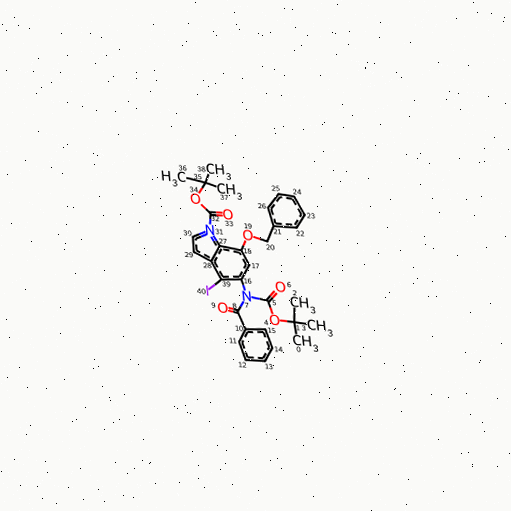 CC(C)(C)OC(=O)N(C(=O)c1ccccc1)c1cc(OCc2ccccc2)c2c(ccn2C(=O)OC(C)(C)C)c1I